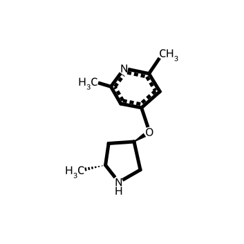 Cc1cc(O[C@H]2CN[C@H](C)C2)cc(C)n1